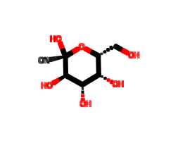 O=N[C@@]1(O)O[C@H](CO)[C@H](O)[C@H](O)[C@H]1O